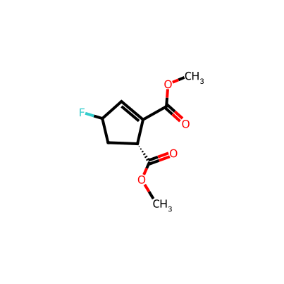 COC(=O)C1=CC(F)C[C@H]1C(=O)OC